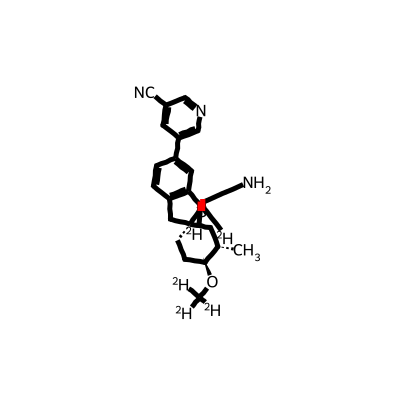 [2H]C([2H])([2H])O[C@H]1CC[C@@]2(Cc3ccc(-c4cncc(C#N)c4)cc3[C@]23N=C(N)OC3([2H])[2H])C[C@@H]1C